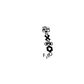 CC(C)(C)OC(=O)N1CC2(C1)CN(S(=O)(=O)c1ccc(OC(F)(F)F)cc1)C2